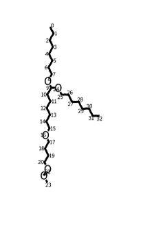 CCCCCCCCOC(CCCCCCOCCCCOOC)OCCCCCCCC